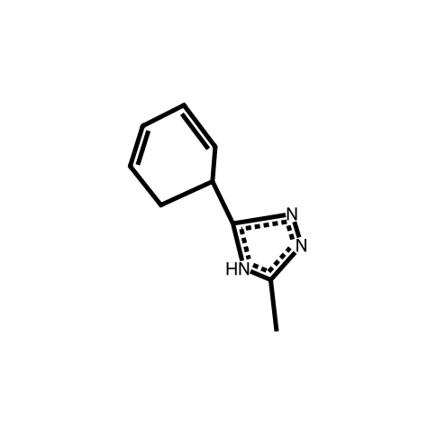 Cc1nnc(C2C=CC=CC2)[nH]1